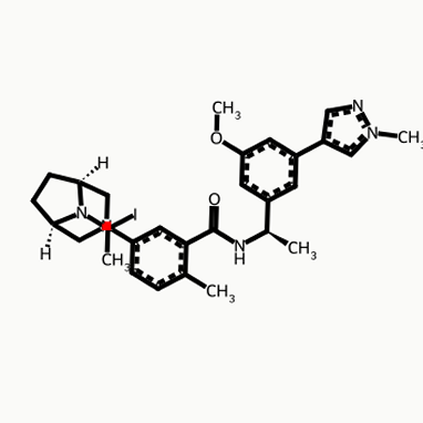 COc1cc(-c2cnn(C)c2)cc([C@@H](C)NC(=O)c2cc(N3C[C@H]4CC[C@@H](C3)N4C(C)I)ccc2C)c1